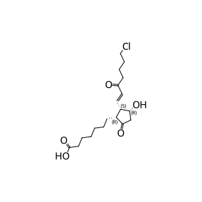 O=C(O)CCCCCC[C@H]1C(=O)C[C@@H](O)[C@H]1C=CC(=O)CCCCCl